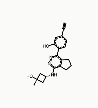 C#Cc1ccc(-c2nnc(N[C@H]3C[C@@](C)(O)C3)c3c2CCC3)c(O)c1